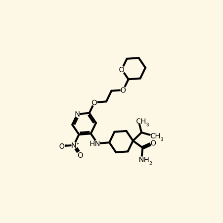 CC(C)C1(C(N)=O)CCC(Nc2cc(OCCOC3CCCCO3)ncc2[N+](=O)[O-])CC1